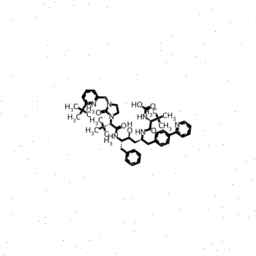 CC(C)(C)c1cccc(CN2CCN([C@H](C(=O)N[C@@H](Cc3ccccc3)[C@@H](O)C[C@H](Cc3ccc(-c4ccccn4)cc3)NC(=O)[C@@H](NC(=O)O)C(C)(C)C)C(C)(C)C)C2=O)n1